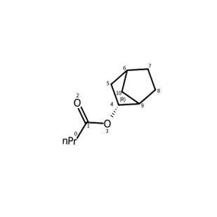 CCCC(=O)O[C@@H]1CC2CCC1C2